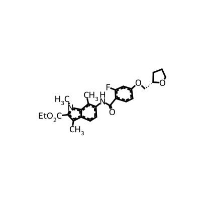 CCOC(=O)c1c(C)c2ccc(NC(=O)c3ccc(OC[C@@H]4CCCO4)cc3F)c(C)c2n1C